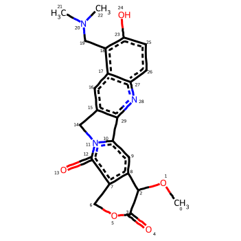 COC1C(=O)OCc2c1cc1n(c2=O)Cc2cc3c(CN(C)C)c(O)ccc3nc2-1